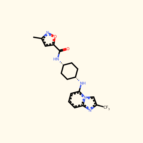 Cc1cc(C(=O)N[C@H]2CC[C@@H](Nc3cccc4nc(C(F)(F)F)cn34)CC2)on1